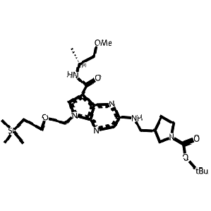 COC[C@@H](C)NC(=O)c1cn(COCC[Si](C)(C)C)c2ncc(NCC3CCN(C(=O)OC(C)(C)C)C3)nc12